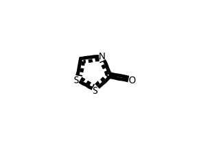 O=c1ncss1